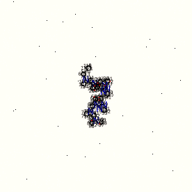 c1ccc(-c2cccc(-n3c4ccccc4c4c5c6ccccc6n(-c6ccc7c8ccccc8n(-c8nc9cccc(-c%10cccc(-c%11nc%12ccccc%12nc%11-n%11c%12ccccc%12c%12ccc(-n%13c%14ccccc%14c%14c%15c%16ccccc%16n(-c%16ccccc%16)c%15ccc%14%13)cc%12%11)c%10)c9nc8-c8ccccc8)c7c6)c5ccc43)c2)cc1